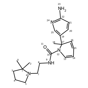 CC1(C)CCCN1CCNC(=O)N1C=CC=[C]C1(C)c1ccc(N)nc1